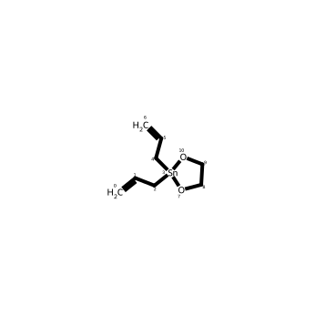 C=C[CH2][Sn]1([CH2]C=C)[O]CC[O]1